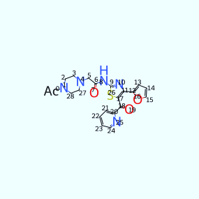 CC(=O)N1CCN(CC(=O)Nc2nc(-c3ccco3)c(C(=O)c3ccccn3)s2)CC1